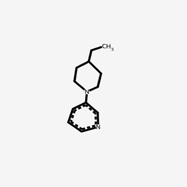 CCC1CCN(c2cccnc2)CC1